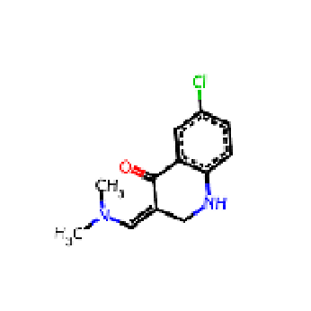 CN(C)C=C1CNc2ccc(Cl)cc2C1=O